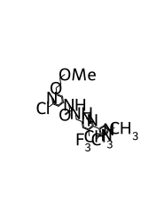 COCCOc1cc(NC(=O)NCc2cc(C)c(-c3cn(C)nc3C(F)(F)F)nn2)cc(Cl)n1